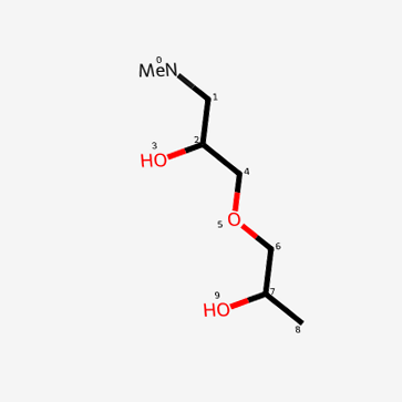 CNCC(O)COCC(C)O